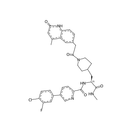 CNC(=O)[C@H](CC1CCN(C(=O)Cc2ccc3[nH]c(=O)cc(C)c3c2)CC1)NC(=O)c1ccc(-c2ccc(Cl)c(F)c2)cn1